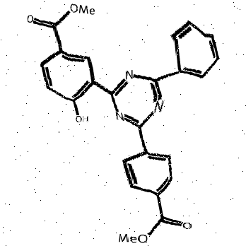 COC(=O)c1ccc(-c2nc(-c3ccccc3)nc(-c3cc(C(=O)OC)ccc3O)n2)cc1